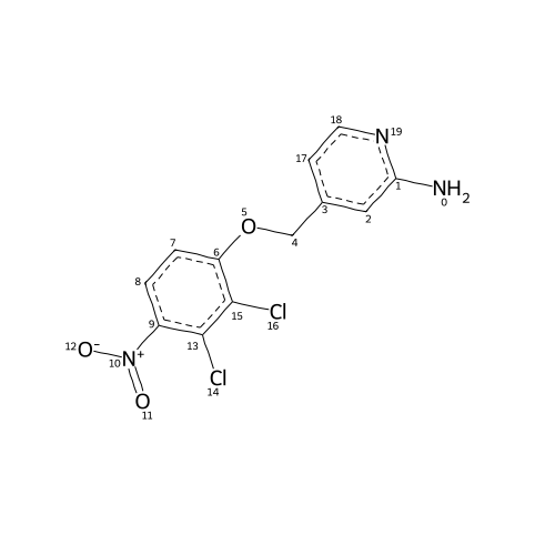 Nc1cc(COc2ccc([N+](=O)[O-])c(Cl)c2Cl)ccn1